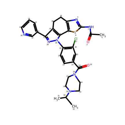 CC(=O)Nc1nc2c(s1)-c1c(c(-c3cccnc3)nn1-c1ccc(C(=O)N3CCN(C(C)C)CC3)cc1Cl)CC2